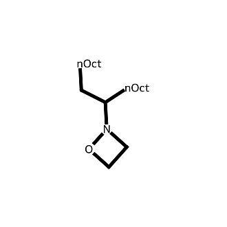 CCCCCCCCCC(CCCCCCCC)N1CCO1